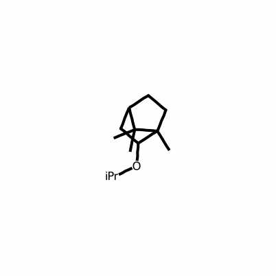 CC(C)OC1CC2CCC1(C)C2(C)C